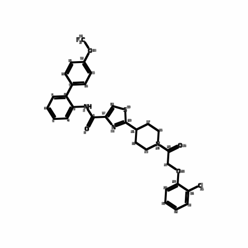 O=C(Nc1ccccc1-c1ccc(OC(F)(F)F)cc1)c1csc(C2CCN(C(=O)COc3ccccc3Cl)CC2)n1